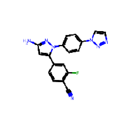 N#Cc1ccc(-c2cc(N)nn2-c2ccc(-n3ccnn3)cc2)cc1F